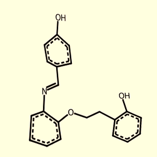 Oc1ccc(/C=N/c2ccccc2OCCc2ccccc2O)cc1